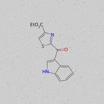 CCOC(=O)c1csc(C(=O)c2c[nH]c3ccccc23)n1